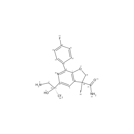 NC[C@](O)(c1cc2c(c(-c3ccc(F)cc3)n1)OCC2(F)C(N)=O)C(F)(F)F